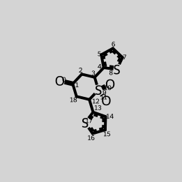 O=C1CC(c2cccs2)S(=O)(=O)C(c2cccs2)C1